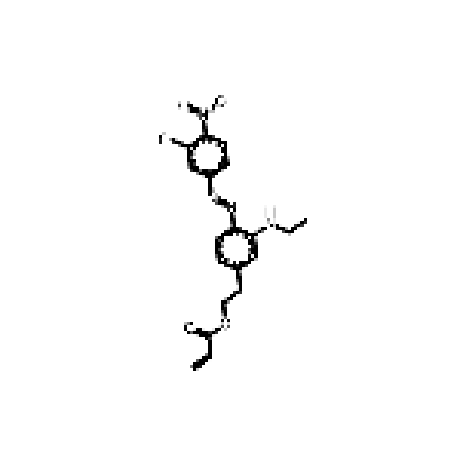 C=CC(=O)OCCc1ccc(N=Nc2ccc([N+](=O)[O-])c(Cl)c2)c(NCC)c1